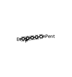 CCCCCC1CCC(c2ccc(C3=CCC(c4ccc(C5CCC(CC)CC5)c(F)c4)CC3)cc2)CC1